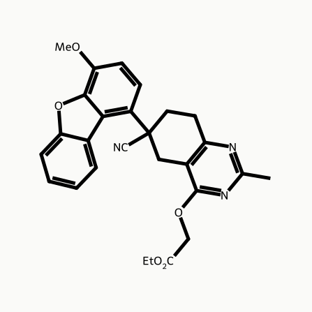 CCOC(=O)COc1nc(C)nc2c1CC(C#N)(c1ccc(OC)c3oc4ccccc4c13)CC2